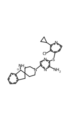 Nc1nc(N2CCC3(CC2)Cc2ccccc2[C@H]3N)cnc1Sc1ccnc(C2CC2)c1Cl